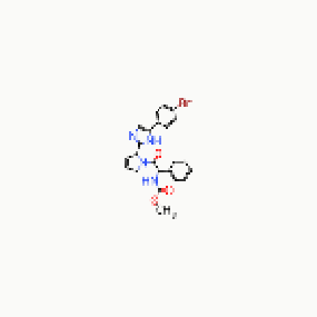 COC(=O)N[C@@H](C(=O)N1CC=C[C@H]1c1ncc(-c2ccc(Br)cc2)[nH]1)c1ccccc1